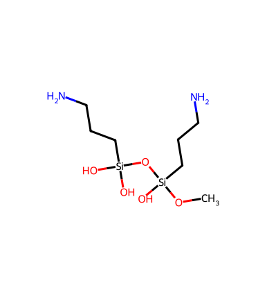 CO[Si](O)(CCCN)O[Si](O)(O)CCCN